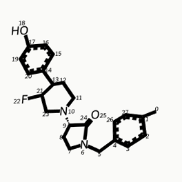 Cc1ccc(CN2CC[C@H](N3CCC(c4ccc(O)cc4)C(F)C3)C2=O)cc1